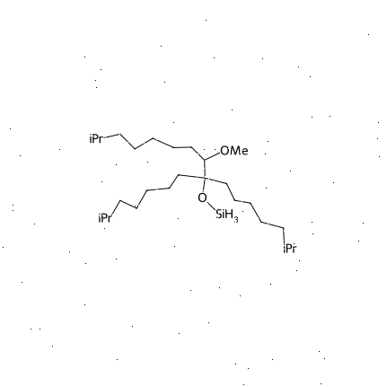 COC(CCCCCC(C)C)C(CCCCCC(C)C)(CCCCCC(C)C)O[SiH3]